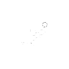 COC(=O)COC1OC2COC(c3ccccc3)OC2C(O)C1O